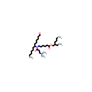 CCCCCCC(CCCCCC=O)N(CCCCCC(=O)OCC(CC)CCCC)C(=O)CCN(C)C